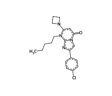 CCCCCn1c(N2CCC2)cc(=O)n2cc(-c3ccc(Cl)cc3)nc12